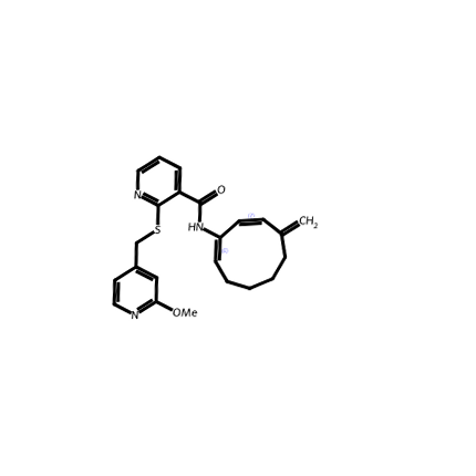 C=C1/C=C\C(NC(=O)c2cccnc2SCc2ccnc(OC)c2)=C/CCCC1